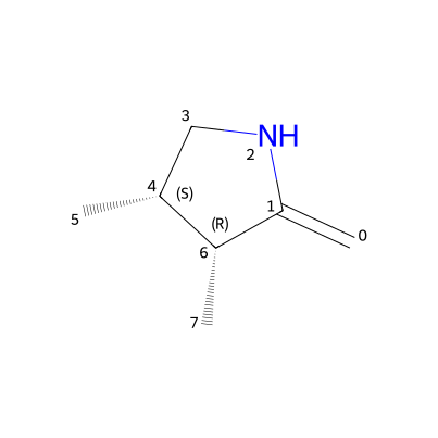 C=C1NC[C@@H](C)[C@H]1C